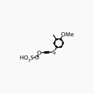 COc1ccc(SC#COOS(=O)(=O)O)cc1C